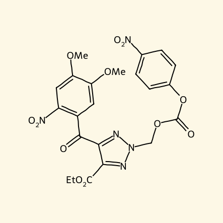 CCOC(=O)c1nn(COC(=O)Oc2ccc([N+](=O)[O-])cc2)nc1C(=O)c1cc(OC)c(OC)cc1[N+](=O)[O-]